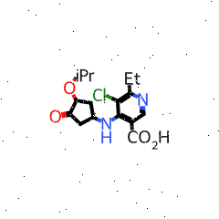 CCc1ncc(C(=O)O)c(NC2CC(=O)C(OC(C)C)C2)c1Cl